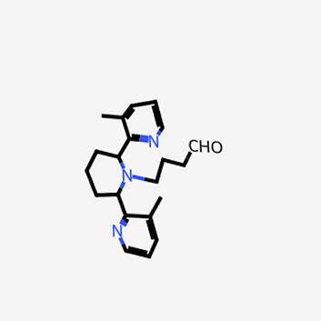 Cc1cccnc1C1CCCC(c2ncccc2C)N1CCCC=O